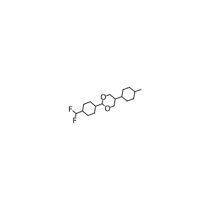 CC1CCC(C2COC(C3CCC(C(F)F)CC3)OC2)CC1